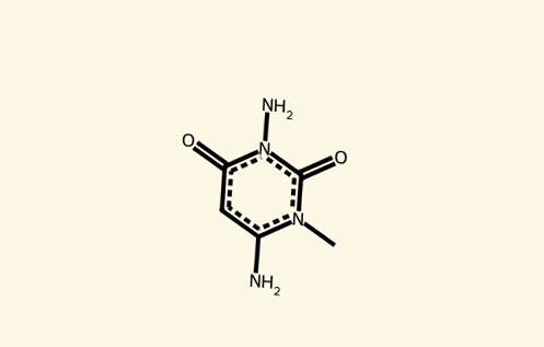 Cn1c(N)cc(=O)n(N)c1=O